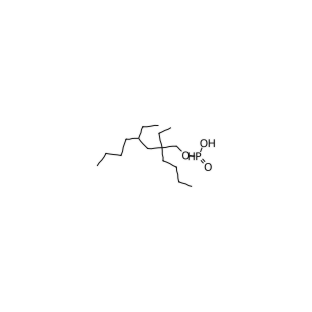 CCCCC(CC)CC(CC)(CCCC)CO[PH](=O)O